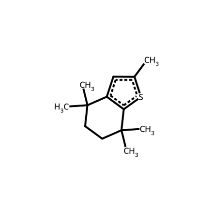 Cc1cc2c(s1)C(C)(C)CCC2(C)C